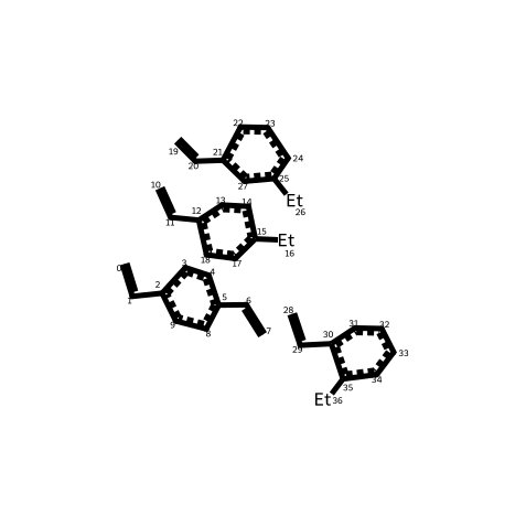 C=Cc1ccc(C=C)cc1.C=Cc1ccc(CC)cc1.C=Cc1cccc(CC)c1.C=Cc1ccccc1CC